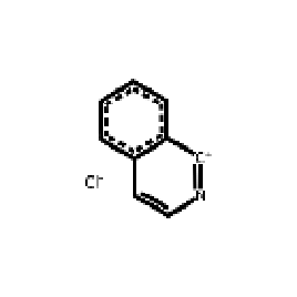 [C+]1=NC=Cc2ccccc21.[Cl-]